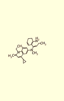 C=C1C=C(C2CC2)c2cc(N(C)/C(=C/CC)C3=C(N)CCC=C3)ccc2N1CC